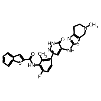 Cc1c(-c2cc(Nc3nc4c(s3)CN(C)CC4)c(=O)[nH]n2)ccc(F)c1NC(=O)c1cc2ccccc2s1